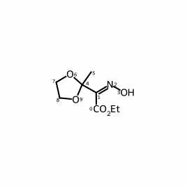 CCOC(=O)C(=NO)C1(C)OCCO1